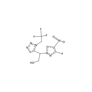 O=[N+]([O-])c1cn(C(CO)c2cnnn2CC(F)(F)F)nc1F